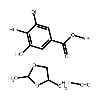 CC1COC(C)O1.CC=O.CCCOC(=O)c1cc(O)c(O)c(O)c1